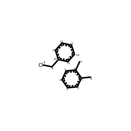 Cc1ccccc1C.ClCc1ccccc1